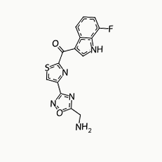 NCc1nc(-c2csc(C(=O)c3c[nH]c4c(F)cccc34)n2)no1